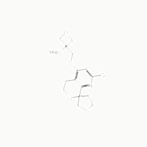 COC1(COc2cc(Cl)nc3c2CCOC32CCOC2)COC1